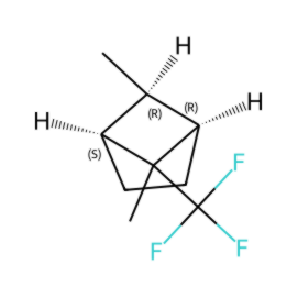 C[C@H]1[C@H]2CC[C@@H]1C2(C)C(F)(F)F